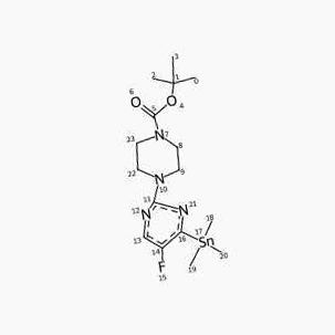 CC(C)(C)OC(=O)N1CCN(c2ncc(F)[c]([Sn]([CH3])([CH3])[CH3])n2)CC1